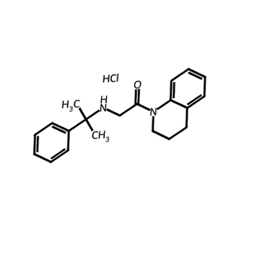 CC(C)(NCC(=O)N1CCCc2ccccc21)c1ccccc1.Cl